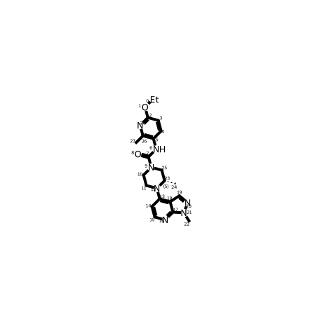 CCOc1ccc(NC(=O)N2CCN(c3ccnc4c3cnn4C)[C@@H](C)C2)c(C)n1